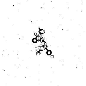 Cc1cncc(NC(=O)c2ccccc2-n2cnc(Cn3nc(-c4ccc(Cl)cc4)n(C[C@H](O)C(F)(F)F)c3=O)n2)c1